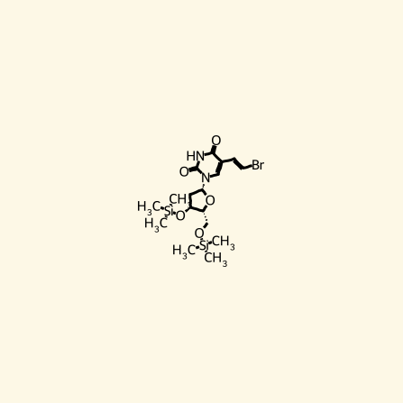 C[Si](C)(C)OC[C@H]1O[C@@H](n2cc(/C=C/Br)c(=O)[nH]c2=O)C[C@@H]1O[Si](C)(C)C